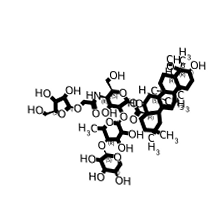 CO[C@]1(C)[C@@H]2CC[C@@]3(C)C(CC=C4C5CC(C)(C)CC[C@]5(C(=O)O[C@@H]5O[C@H](CO)[C@H](NC(=O)CO[C@@H]6O[C@@H](CO)C(O)C6O)C(O)C5O[C@@H]5OC(C)[C@H](O[C@@H]6OC[C@@H](O)C(O)C6O)C(O)C5O)C(O)C[C@]43C)C2(C)CC[C@@H]1O